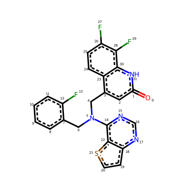 O=c1cc(CN(Cc2ccccc2F)c2ncnc3ccsc23)c2ccc(F)c(F)c2[nH]1